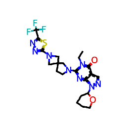 CCn1c(N2CCC3(CN(c4nnc(C(F)(F)F)s4)C3)C2)nc2c(cnn2C2CCCCO2)c1=O